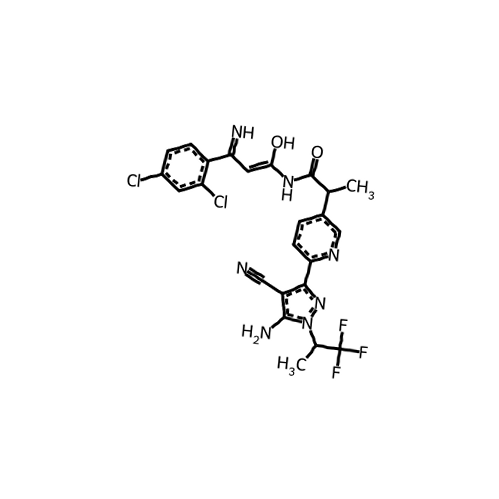 CC(C(=O)N/C(O)=C/C(=N)c1ccc(Cl)cc1Cl)c1ccc(-c2nn(C(C)C(F)(F)F)c(N)c2C#N)nc1